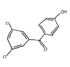 O=C(c1ccc(O)cc1)c1cc(Cl)cc(Cl)c1